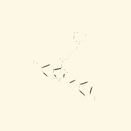 Fc1ccc(/C=C/c2nc(NCCCN3CCOCC3)c3cc(Br)ccc3n2)cc1